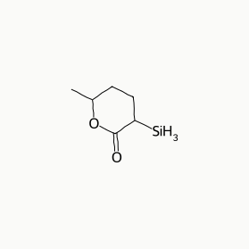 CC1CCC([SiH3])C(=O)O1